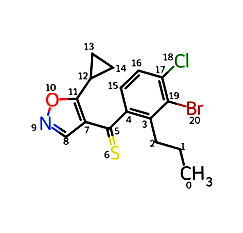 CCCc1c(C(=S)c2cnoc2C2CC2)ccc(Cl)c1Br